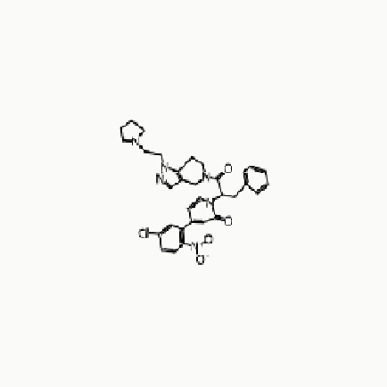 O=C(C(Cc1ccccc1)n1ccc(-c2cc(Cl)ccc2[N+](=O)[O-])cc1=O)N1CCc2c(cnn2CCN2CCCC2)C1